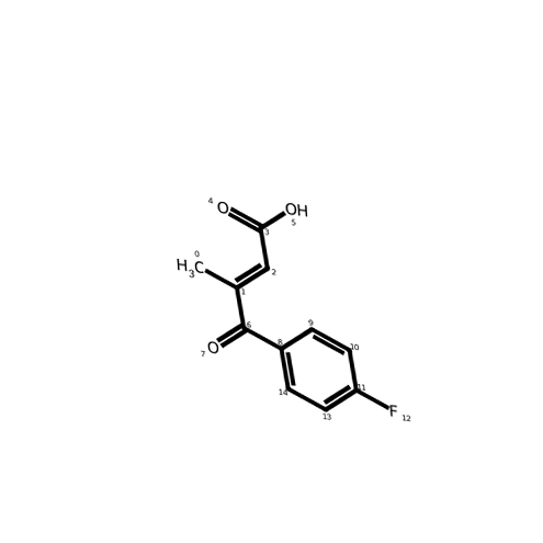 CC(=CC(=O)O)C(=O)c1ccc(F)cc1